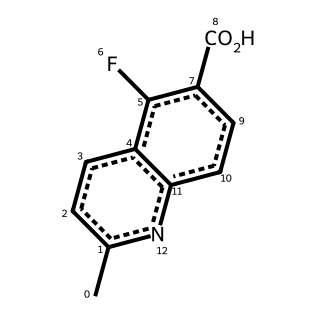 Cc1ccc2c(F)c(C(=O)O)ccc2n1